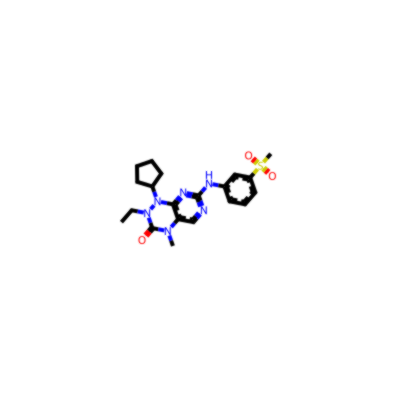 CCN1C(=O)N(C)c2cnc(Nc3cccc(S(C)(=O)=O)c3)nc2N1C1CCCC1